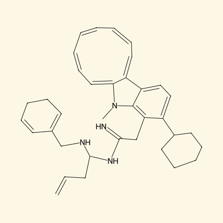 C=CCC(NCC1=CCCC=C1)NC(=N)Cc1c(C2CCCCC2)ccc2c3ccccccccc3n(C)c12